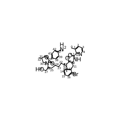 Cc1cccnc1C(=O)N[C@@H](Cc1ccccc1Br)C(=O)NCCCC[C@@H](CO)N(CC(C)C)S(=O)(=O)c1ccc(N)cc1